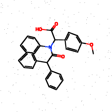 COc1ccc(C(C(=O)O)N(C(=O)C(c2ccccc2)c2ccccc2)c2ccccc2)cc1